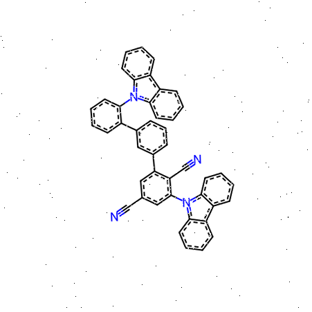 N#Cc1cc(-c2cccc(-c3ccccc3-n3c4ccccc4c4ccccc43)c2)c(C#N)c(-n2c3ccccc3c3ccccc32)c1